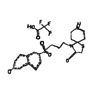 O=C(O)C(F)(F)F.O=C1CSC2(CCNCC2)N1CCCS(=O)(=O)c1ccc2cc(Cl)ccc2c1